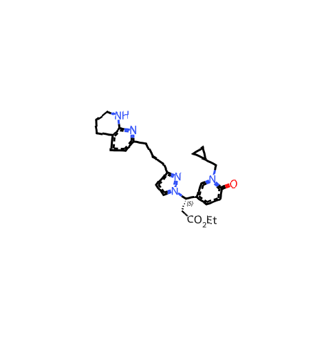 CCOC(=O)C[C@@H](c1ccc(=O)n(CC2CC2)c1)n1ccc(CCCc2ccc3c(n2)NCCC3)n1